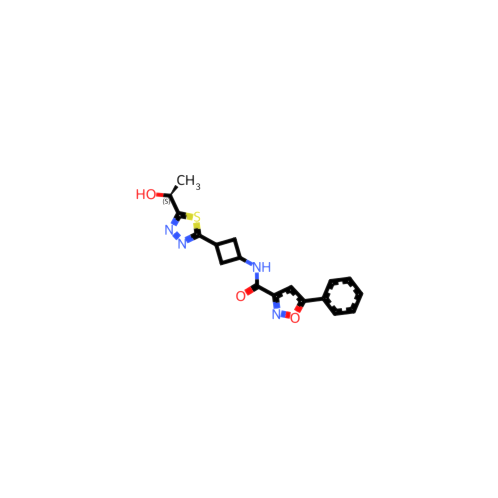 C[C@H](O)c1nnc(C2CC(NC(=O)c3cc(-c4ccccc4)on3)C2)s1